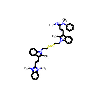 C/N=C(\C=C\c1c(C)n(CCSSCCn2c(C)c(/C=C/c3n(C)c4ccccc4[n+]3C)c3ccccc32)c2ccccc12)N(C)c1ccccc1